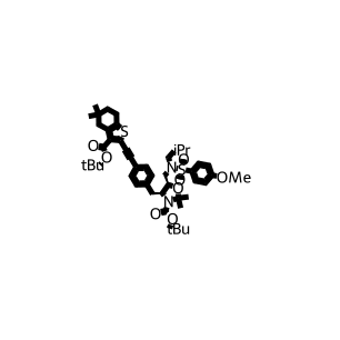 COc1ccc(S(=O)(=O)N(CC(C)C)C[C@H]2OC(C)(C)N(C(=O)OC(C)(C)C)[C@H]2Cc2ccc(C#Cc3sc4c(c3C(=O)OC(C)(C)C)CC(C)(C)CC4)cc2)cc1